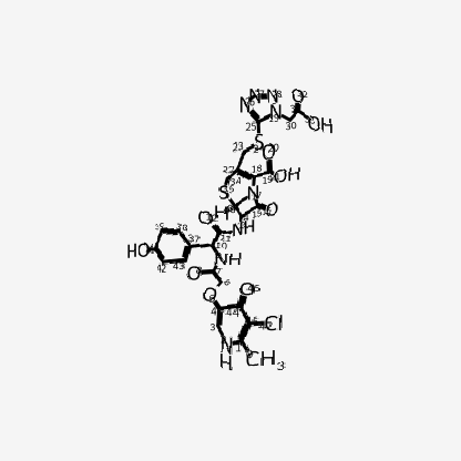 Cc1[nH]cc(OCC(=O)NC(C(=O)NC2C(=O)N3C(C(=O)O)=C(CSc4nnnn4CC(=O)O)CS[C@H]23)c2ccc(O)cc2)c(=O)c1Cl